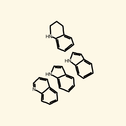 c1ccc2[nH]ccc2c1.c1ccc2[nH]ccc2c1.c1ccc2c(c1)CCCN2.c1ccc2ncccc2c1